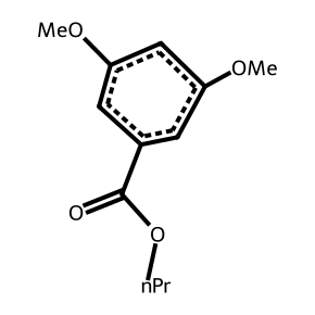 CCCOC(=O)c1cc(OC)cc(OC)c1